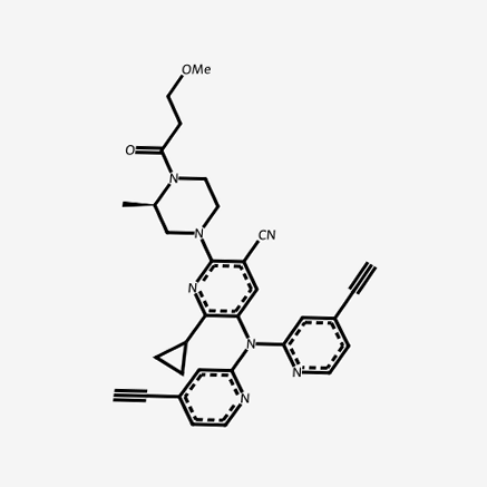 C#Cc1ccnc(N(c2cc(C#C)ccn2)c2cc(C#N)c(N3CCN(C(=O)CCOC)[C@H](C)C3)nc2C2CC2)c1